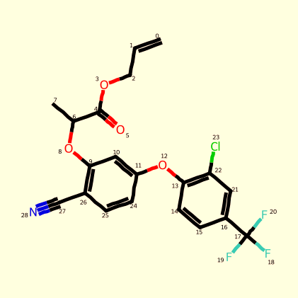 C=CCOC(=O)C(C)Oc1cc(Oc2ccc(C(F)(F)F)cc2Cl)ccc1C#N